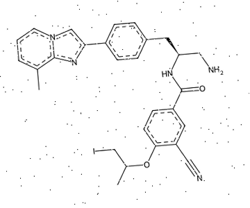 Cc1cccn2cc(-c3ccc(C[C@@H](CN)NC(=O)c4ccc(OC(C)CI)c(C#N)c4)cc3)nc12